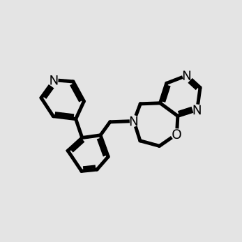 c1ccc(-c2ccncc2)c(CN2CCOc3ncncc3C2)c1